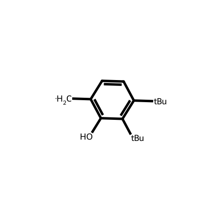 [CH2]c1ccc(C(C)(C)C)c(C(C)(C)C)c1O